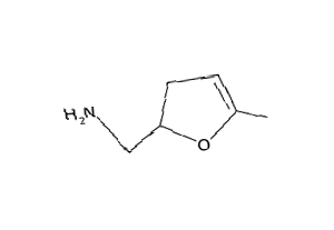 CC1=CCC(CN)O1